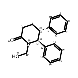 O=C1CC[C@H](c2ccccc2)[C@@H](c2ccccc2)N1CO